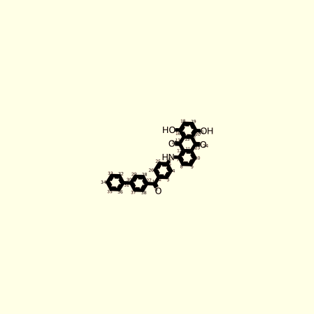 O=C(c1ccc(Nc2cccc3c2C(=O)c2c(O)ccc(O)c2C3=O)cc1)c1ccc(-c2ccccc2)cc1